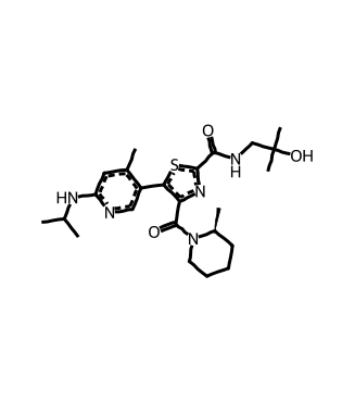 Cc1cc(NC(C)C)ncc1-c1sc(C(=O)NCC(C)(C)O)nc1C(=O)N1CCCC[C@@H]1C